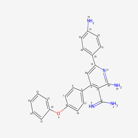 N=C(N)c1c(-c2ccc(Oc3ccccc3)cc2)cc(-c2ccc(N)cc2)nc1N